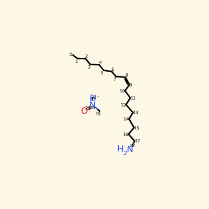 CCCCCCCC/C=C\CCCCCCCCN.C[NH+](C)[O-]